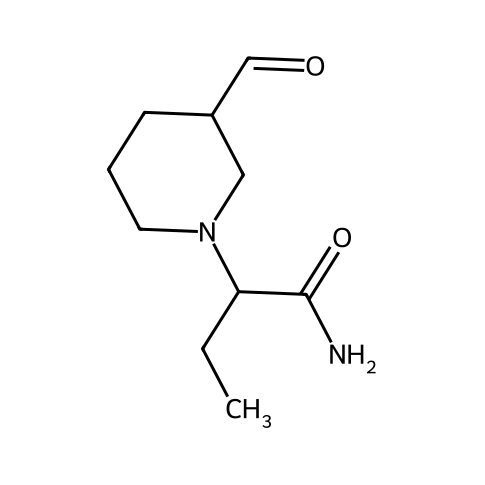 CCC(C(N)=O)N1CCCC(C=O)C1